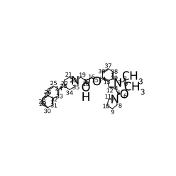 CC(C)n1c(C(=O)N2CCCC2)cc2c(OC[C@@H](O)CN3CCC(c4ccc5ccccc5c4)CC3)cccc21